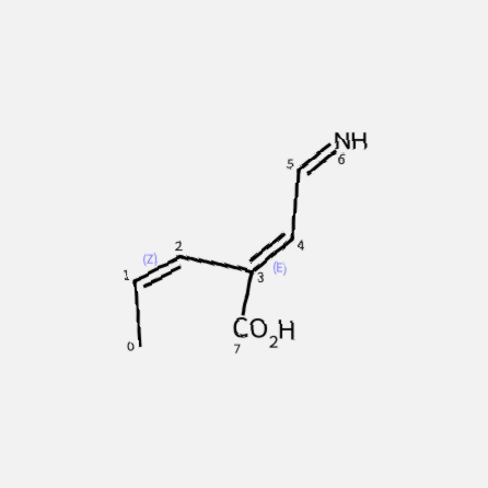 C/C=C\C(=C/C=N)C(=O)O